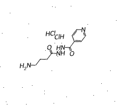 Cl.Cl.NCCCC(=O)NNC(=O)c1ccncc1